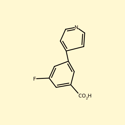 O=C(O)c1cc(F)cc(-c2ccncc2)c1